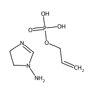 C=CCOP(=O)(O)O.NN1C=NCC1